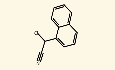 N#CC(Cl)c1cccc2ccccc12